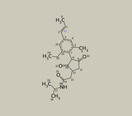 C/C=C/c1cc(C)c(C2C(=O)CC(CC(=O)NC(C)C)C2=O)c(CC)c1